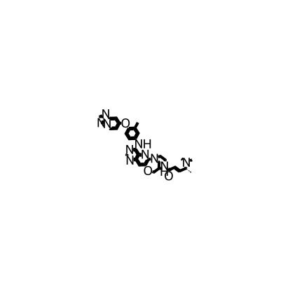 Cc1cc(Nc2ncnc3cc4c(nc23)N2CCN(C(=O)/C=C/[C@@H](C)N(C)C)[C@H](CO4)C2)ccc1Oc1ccn2ncnc2c1